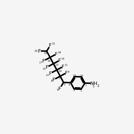 Nc1ccc(C(F)C(F)(F)C(F)(F)C(F)(F)C(F)(F)C(F)F)cc1